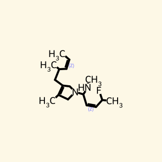 C/C=C\C(C)CC1=C(C)CN(C(/C=C\C(C)F)NC)C1